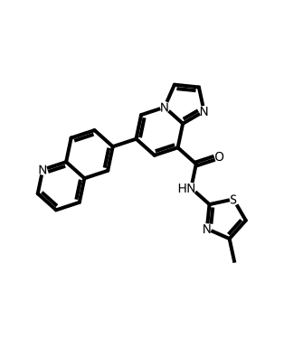 Cc1csc(NC(=O)c2cc(-c3ccc4ncccc4c3)cn3ccnc23)n1